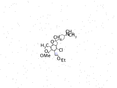 CCO/C=C/c1c(Cl)c2c(c(C)c1C(=O)OC)OC(C)(C1CCC(N(C)C)CC1)C2